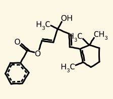 CC1=C(C=CC(C)(O)C=COC(=O)c2ccccc2)C(C)(C)CCC1